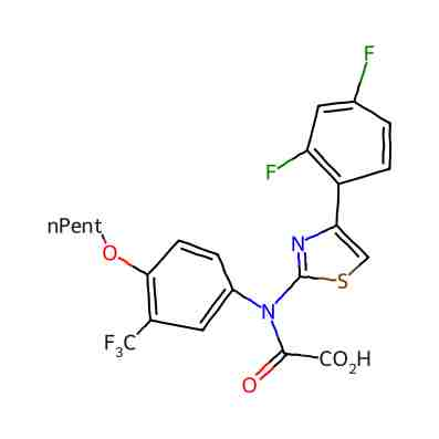 CCCCCOc1ccc(N(C(=O)C(=O)O)c2nc(-c3ccc(F)cc3F)cs2)cc1C(F)(F)F